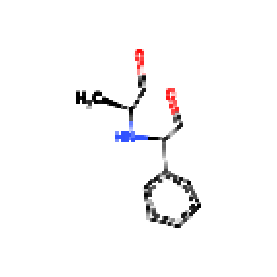 C[C@@H](C=O)N[C@@H](C=O)c1ccccc1